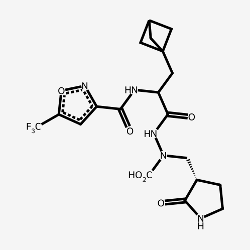 O=C(NC(CC12CC(C1)C2)C(=O)NN(C[C@@H]1CCNC1=O)C(=O)O)c1cc(C(F)(F)F)on1